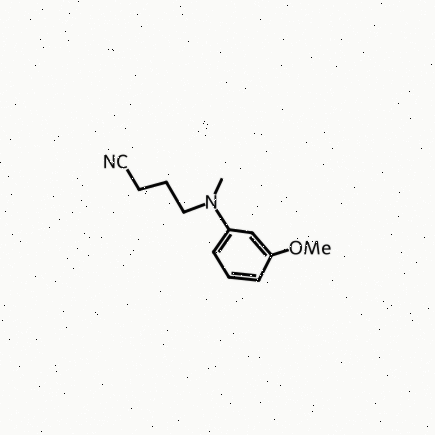 COc1cccc(N(C)CCCC#N)c1